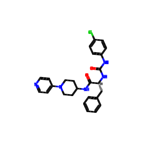 O=C(Nc1ccc(Cl)cc1)N[C@H](Cc1ccccc1)C(=O)NC1CCN(c2ccncc2)CC1